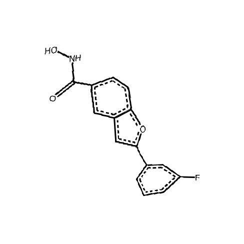 O=C(NO)c1ccc2oc(-c3cccc(F)c3)cc2c1